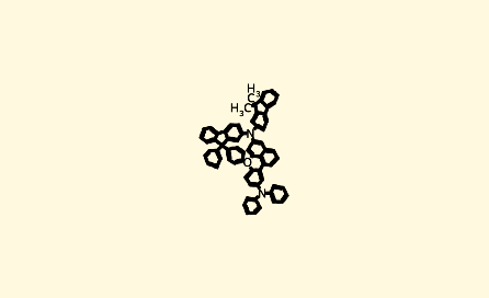 CC1(C)c2ccccc2-c2ccc(N(c3ccc4c(c3)C(c3ccccc3)(c3ccccc3)c3ccccc3-4)c3cc4c5c(cccc5c3)-c3cc(N(c5ccccc5)c5ccccc5)ccc3O4)cc21